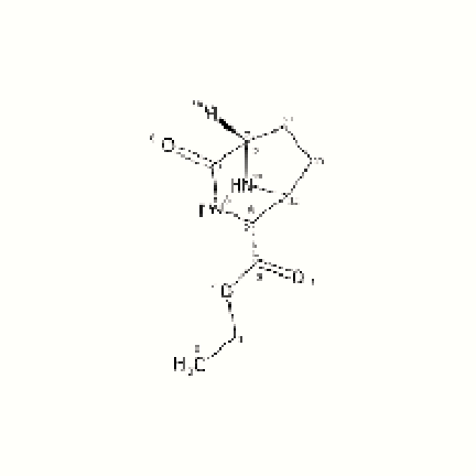 CCOC(=O)[C@@H]1NC(=O)[C@@H]2CCC1N2